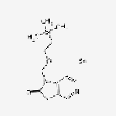 C[Si](C)(C)CCOCN1C(=O)Cc2cnccc21.[Sn]